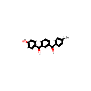 CC(C)(C)c1ccc(C(=O)c2cccc(C(=O)c3ccc(O)cc3)c2)cc1